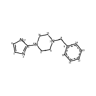 C1=CN=C(N2CCN(Cc3ccccc3)CC2)[N]1